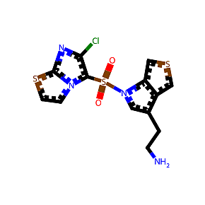 NCCc1cn(S(=O)(=O)c2c(Cl)nc3sccn23)c2cscc12